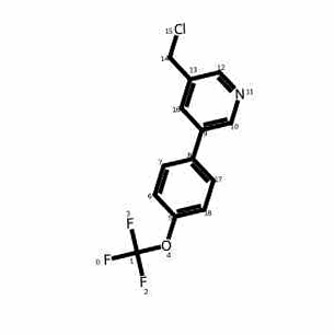 FC(F)(F)Oc1ccc(-c2cncc(CCl)c2)cc1